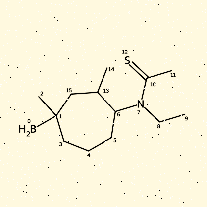 BC1(C)CCCC(N(CC)C(C)=S)C(C)C1